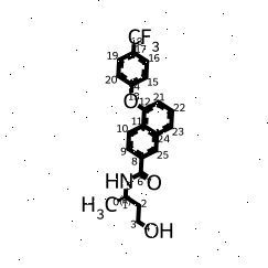 C[C@H](CCO)NC(=O)c1ccc2c(Oc3ccc(C(F)(F)F)cc3)cccc2c1